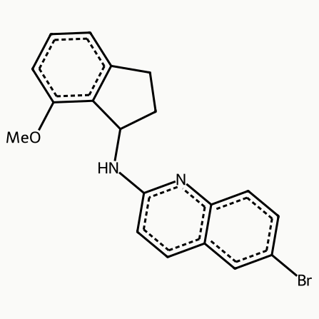 COc1cccc2c1C(Nc1ccc3cc(Br)ccc3n1)CC2